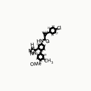 COc1ccc(-c2ccc(NC(=O)C3CC3c3ccc(Cl)cc3)cc2-c2nnn[nH]2)cc1C